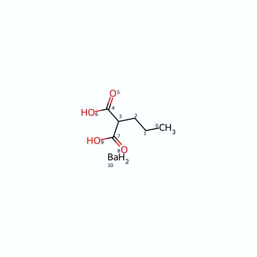 CCCC(C(=O)O)C(=O)O.[BaH2]